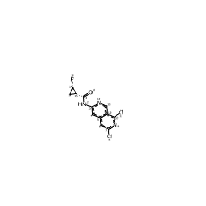 O=C(Nc1cc2cc(Cl)nc(Cl)c2cn1)[C@@H]1C[C@@H]1F